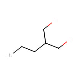 O=[N+]([O-])CCC(CO)CO